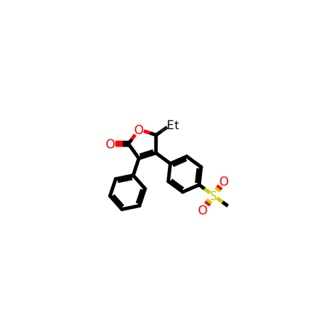 CCC1OC(=O)C(c2ccccc2)=C1c1ccc(S(C)(=O)=O)cc1